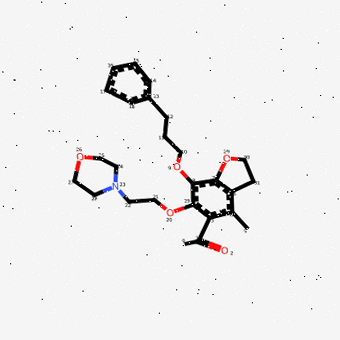 CC(=O)c1c(C)c2c(c(OCCCc3ccccc3)c1OCCN1CCOCC1)OCC2